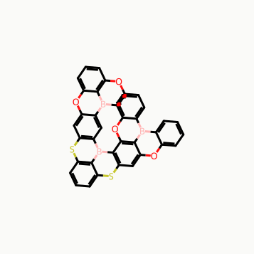 c1ccc2c(c1)Oc1cccc3c1B2c1cc2c(cc1O3)Sc1cccc3c1B2c1c(cc2c4c1Oc1ccccc1B4c1ccccc1O2)S3